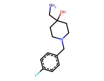 NCC1(O)CCN(Cc2ccc(F)cc2)CC1